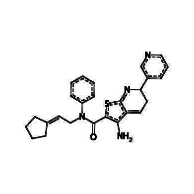 Nc1c(C(=O)N(CC=C2CCCC2)c2ccccc2)sc2c1=CCC(c1cccnc1)N=2